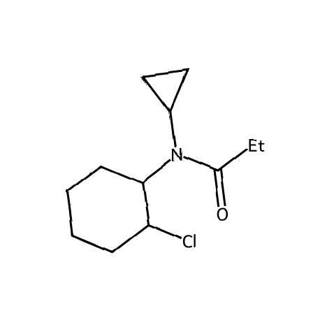 CCC(=O)N(C1CC1)C1CCCCC1Cl